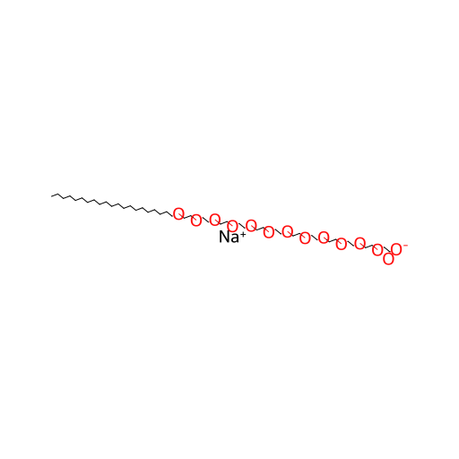 CCCCCCCCCCCCCCCCCCCCCOCCOCCOCCOCCOCCOCCOCCOCCOCCOCCOCCOCC(=O)[O-].[Na+]